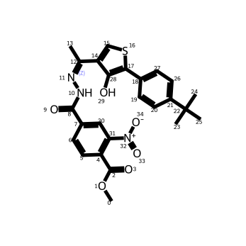 COC(=O)c1ccc(C(=O)N/N=C(/C)c2csc(-c3ccc(C(C)(C)C)cc3)c2O)cc1[N+](=O)[O-]